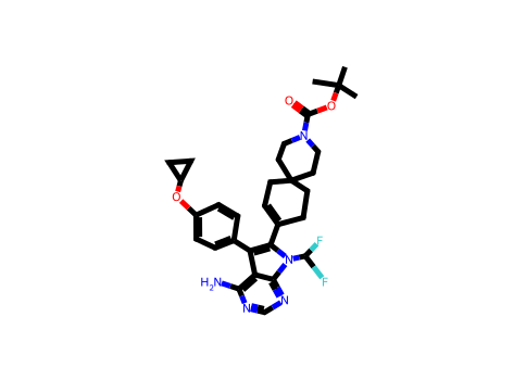 CC(C)(C)OC(=O)N1CCC2(CC=C(c3c(-c4ccc(OC5CC5)cc4)c4c(N)ncnc4n3C(F)F)CC2)CC1